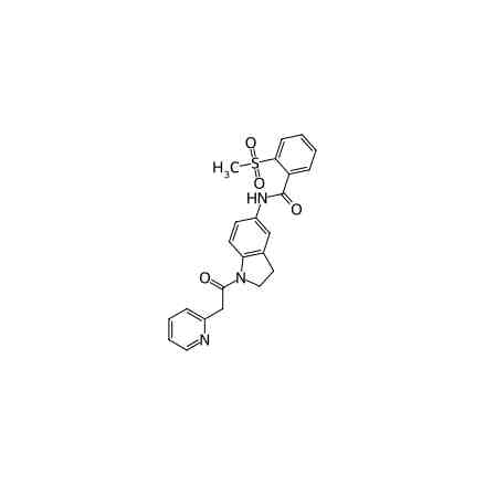 CS(=O)(=O)c1ccccc1C(=O)Nc1ccc2c(c1)CCN2C(=O)Cc1ccccn1